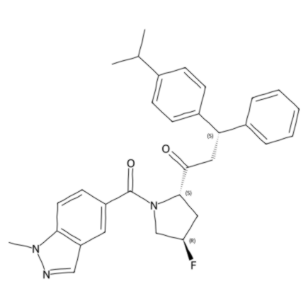 CC(C)c1ccc([C@@H](CC(=O)[C@@H]2C[C@@H](F)CN2C(=O)c2ccc3c(cnn3C)c2)c2ccccc2)cc1